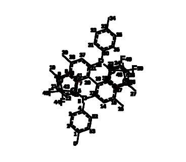 Cc1ccc(P(c2ccc(C)cc2)c2cc(C)c3c(c2-c2c(P(c4ccc(C)cc4)c4ccc(C)cc4)cc(C)c4c2OC(F)(F)O4)OC(F)(F)O3)cc1